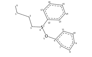 CCCC[S+](Oc1ccccc1)c1ccccc1